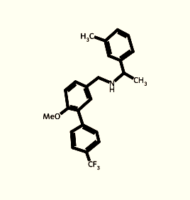 COc1ccc(CNC(C)c2cccc(C)c2)cc1-c1ccc(C(F)(F)F)cc1